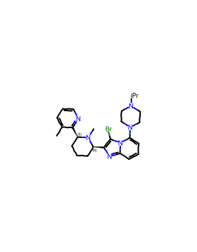 Cc1cccnc1[C@@H]1CCC[C@H](c2nc3cccc(N4CCN(C(C)C)CC4)n3c2Br)N1C